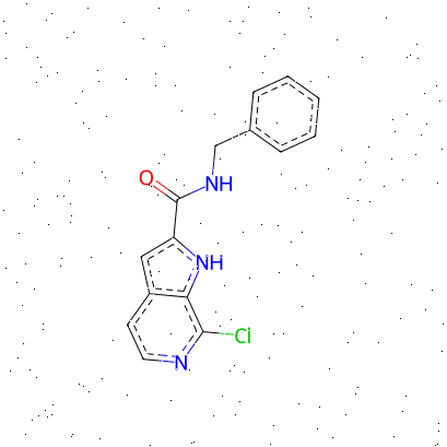 O=C(NCc1ccccc1)c1cc2ccnc(Cl)c2[nH]1